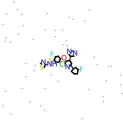 Fc1cccc(-c2cc(-c3cncnc3)c(Oc3cc(F)c(SNc4cscn4)cc3Cl)cn2)c1